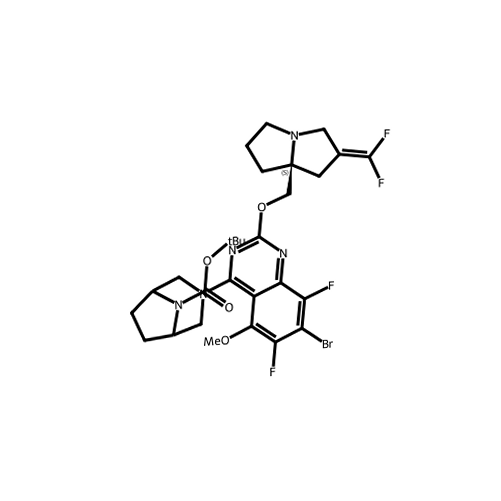 COc1c(F)c(Br)c(F)c2nc(OC[C@@]34CCCN3CC(=C(F)F)C4)nc(N3CC4CCC(C3)N4C(=O)OC(C)(C)C)c12